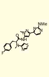 CNc1nccc(-c2cc(NC(=O)[C@H](Cc3ccc(F)cc3)N(C)c3cscn3)n(C)n2)n1